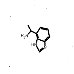 CC(N)c1cccc2nc[nH]c12